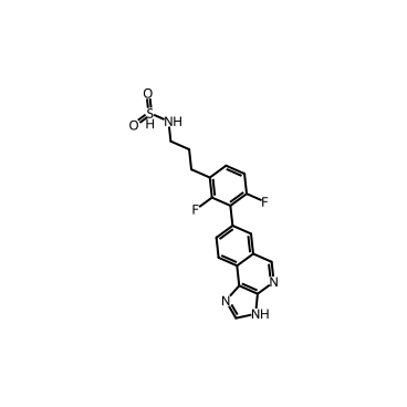 O=[SH](=O)NCCCc1ccc(F)c(-c2ccc3c(cnc4[nH]cnc43)c2)c1F